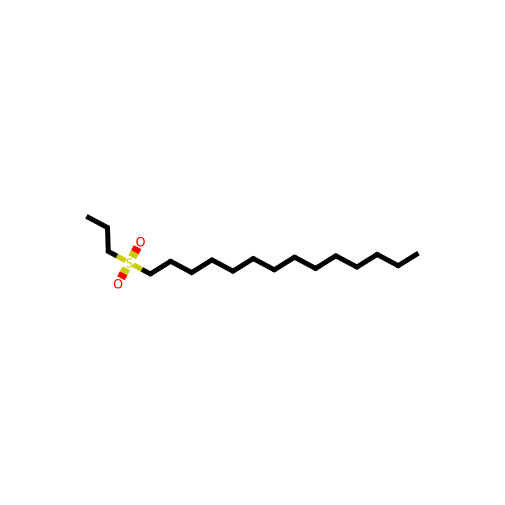 CCCCCCCCCCCCCCS(=O)(=O)CCC